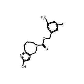 N#Cc1cc2n(n1)CCCN(C(=O)OCc1cc(F)cc(C(F)(F)F)c1)C2